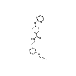 CCOc1cccc(CCNC(=O)N2CCC(Oc3ncccn3)CC2)c1